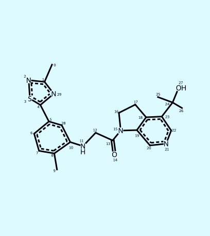 Cc1nsc(-c2ccc(C)c(NCC(=O)N3CCc4c3cncc4C(C)(C)O)c2)n1